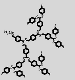 CSCc1ccc(C(SCc2ccc(C(SCc3ccc(C(Sc4ccc(I)cc4)Sc4ccc(I)cc4)cc3)SCc3ccc(C(Sc4ccc(I)cc4)Sc4ccc(I)cc4)cc3)cc2)SCc2ccc(C(SCc3ccc(C(Sc4ccc(I)cc4)Sc4ccc(I)cc4)cc3)SCc3ccc(C(Sc4ccc(I)cc4)Sc4ccc(I)cc4)cc3)cc2)cc1